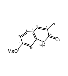 COc1ccc2cc(C)c(=O)[nH]c2c1